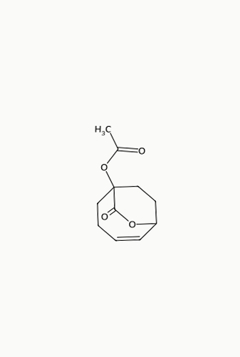 CC(=O)OC12CC/C=C\C(CC1)OC2=O